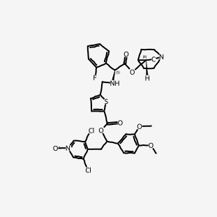 COc1ccc(C(Cc2c(Cl)c[n+]([O-])cc2Cl)OC(=O)c2ccc(CN[C@H](C(=O)O[C@H]3CN4CCC3CC4)c3ccccc3F)s2)cc1OC